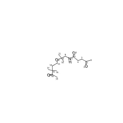 CC(=O)CCC(=O)NCC(C)(C)OCCC(C)(C)C(C)=O